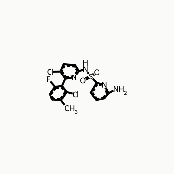 Cc1ccc(F)c(-c2nc(NS(=O)(=O)c3cccc(N)n3)ccc2Cl)c1Cl